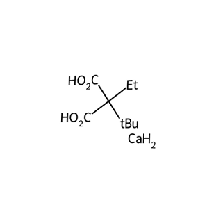 CCC(C(=O)O)(C(=O)O)C(C)(C)C.[CaH2]